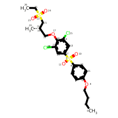 CCCCOc1ccc(S(=O)(=O)c2cc(Cl)c(OC[C@H](C)CS(=O)(=O)CC)c(Cl)c2)cc1